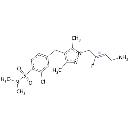 Cc1nn(C/C(F)=C/CN)c(C)c1Cc1ccc(S(=O)(=O)N(C)C)c(Cl)c1